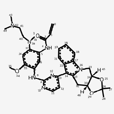 C=CC(=O)Nc1cc(Nc2nccc(-c3c4n(c5ccccc35)C[C@@H]3OC(C)(C)O[C@@H]3C4)n2)c(OC)cc1N(C)CCN(C)C